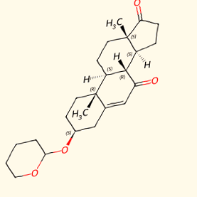 C[C@]12CC[C@H](OC3CCCCO3)CC1=CC(=O)[C@@H]1[C@@H]2CC[C@]2(C)C(=O)CC[C@@H]12